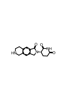 O=C1CC[C@@H](N2Cc3cc4c(cc3C2=O)CCNC4)C(=O)N1